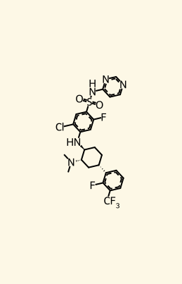 CN(C)[C@H]1C[C@@H](c2cccc(C(F)(F)F)c2F)CC[C@@H]1Nc1cc(F)c(S(=O)(=O)Nc2ccncn2)cc1Cl